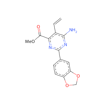 C=Cc1c(N)nc(-c2ccc3c(c2)OCO3)nc1C(=O)OC